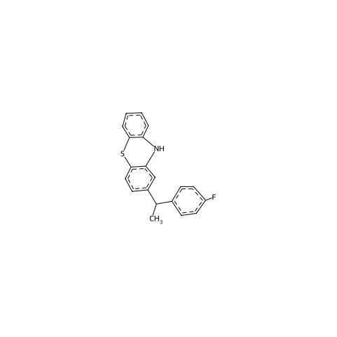 CC(c1ccc(F)cc1)c1ccc2c(c1)Nc1ccccc1S2